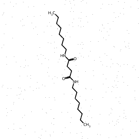 CCCCCCCCNC(=O)CCC(=O)NCCCCCCCC